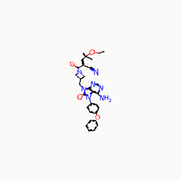 CCOC(C)(C)C=C(C#N)C(=O)N1CC(Cn2c(=O)n(-c3ccc(Oc4ccccc4)cc3)c3c(N)ncnc32)C1